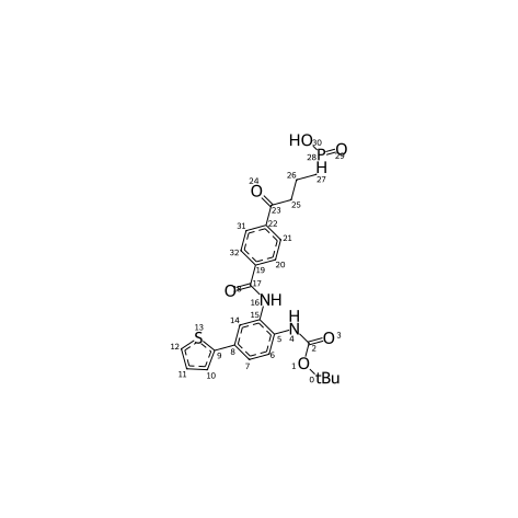 CC(C)(C)OC(=O)Nc1ccc(-c2cccs2)cc1NC(=O)c1ccc(C(=O)CCC[PH](=O)O)cc1